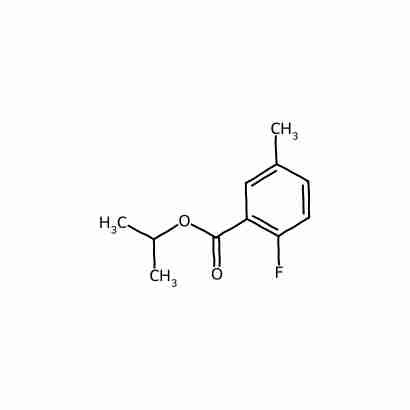 Cc1ccc(F)c(C(=O)OC(C)C)c1